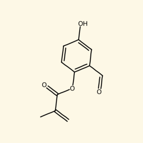 C=C(C)C(=O)Oc1ccc(O)cc1C=O